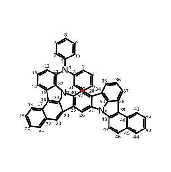 c1ccc(N(c2ccccc2)c2cccc3c4c5ccccc5cc5c6cc7c(cc6n(c23)c54)c2cccc3c4c5ccccc5ccc4n7c23)cc1